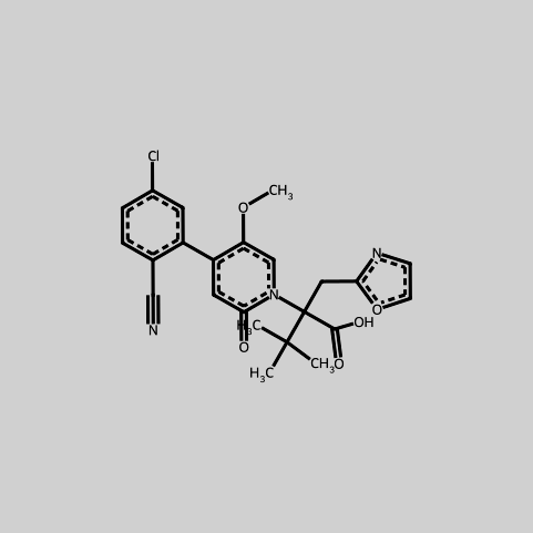 COc1cn(C(Cc2ncco2)(C(=O)O)C(C)(C)C)c(=O)cc1-c1cc(Cl)ccc1C#N